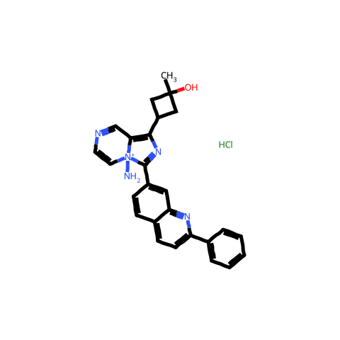 CC1(O)CC(C2=C3C=NC=C[N+]3(N)C(c3ccc4ccc(-c5ccccc5)nc4c3)=N2)C1.Cl